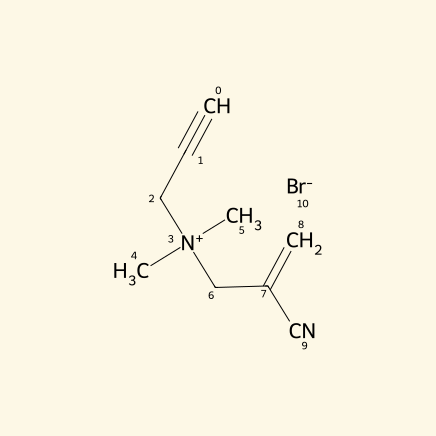 C#CC[N+](C)(C)CC(=C)C#N.[Br-]